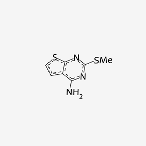 CSc1nc(N)c2ccsc2n1